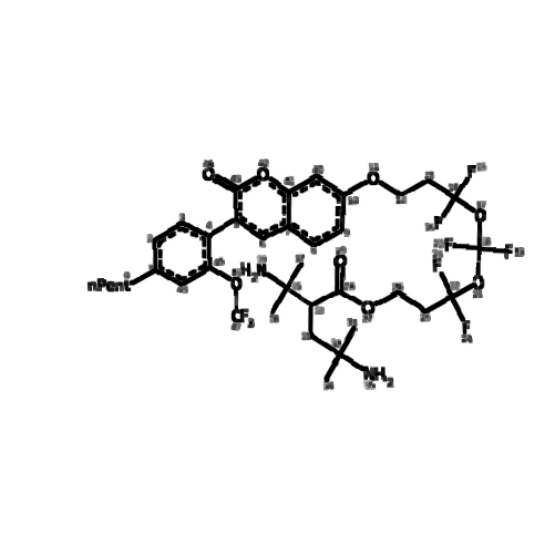 CCCCCc1ccc(-c2cc3ccc(OCCC(F)(F)OC(F)(F)OC(F)(F)CCOC(=O)C(CC(C)(C)N)C(C)(C)N)cc3oc2=O)c(OC(F)(F)F)c1